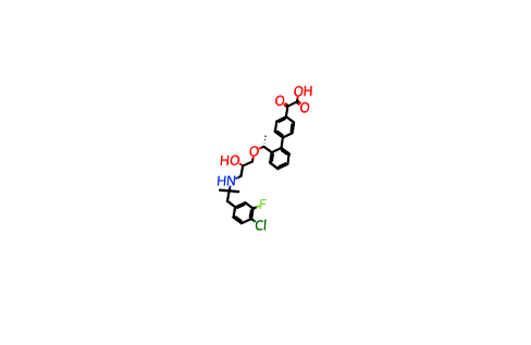 C[C@@H](OC[C@H](O)CNC(C)(C)Cc1ccc(Cl)c(F)c1)c1ccccc1-c1ccc(C(=O)C(=O)O)cc1